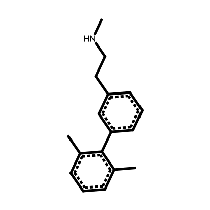 CNCCc1cccc(-c2c(C)cccc2C)c1